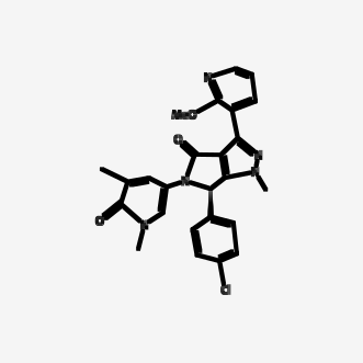 COc1ncccc1-c1nn(C)c2c1C(=O)N(c1cc(C)c(=O)n(C)c1)[C@@H]2c1ccc(Cl)cc1